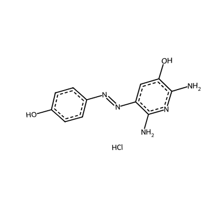 Cl.Nc1nc(N)c(/N=N/c2ccc(O)cc2)cc1O